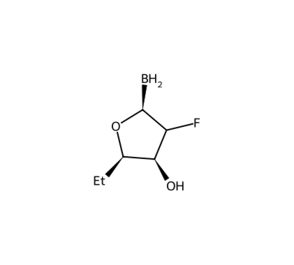 B[C@@H]1O[C@H](CC)[C@H](O)C1F